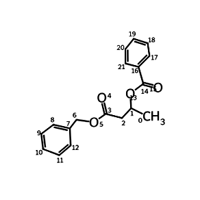 CC(CC(=O)OCc1ccccc1)OC(=O)c1ccccc1